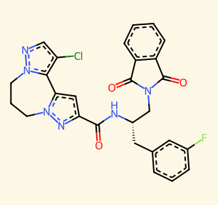 O=C(N[C@@H](Cc1cccc(F)c1)CN1C(=O)c2ccccc2C1=O)c1cc2n(n1)CCCn1ncc(Cl)c1-2